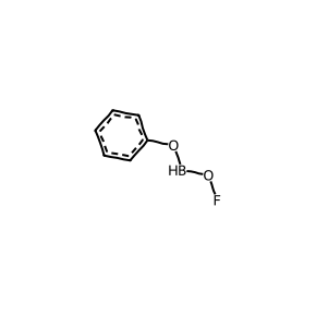 FOBOc1ccccc1